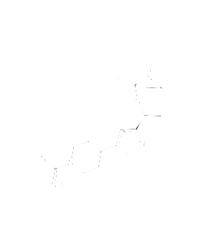 N=C(N)N1CCC(c2cc([C@@H]3CC[C@H]4CN3C(=O)N4OS(=O)(=O)O)no2)CC1